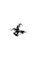 CNCCNC(=O)c1ccc(-c2cc3c(cc2C(=O)Nc2ccc(CN)cc2)-c2sccc2CCO3)c(C(=O)OC)n1